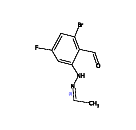 C/C=N\Nc1cc(F)cc(Br)c1C=O